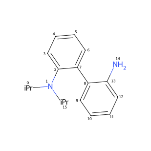 CC(C)N(c1ccccc1-c1ccccc1N)C(C)C